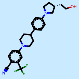 N#Cc1ccc(N2CCC(c3ccc(N4CC[C@H](CCO)C4)cc3)CC2)cc1C(F)(F)F